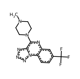 CN1CCN(c2nc3cc(C(F)(F)F)ccc3n3nnnc23)CC1